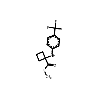 COC(=O)C1(Nc2ccc(C(F)(F)F)cc2)CCC1